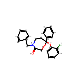 O=C1COC(Oc2ccccc2Cl)(c2ccccc2)CCN1Cc1ccccc1